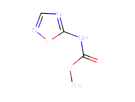 CC(C)(C)OC(=O)Nc1ncno1